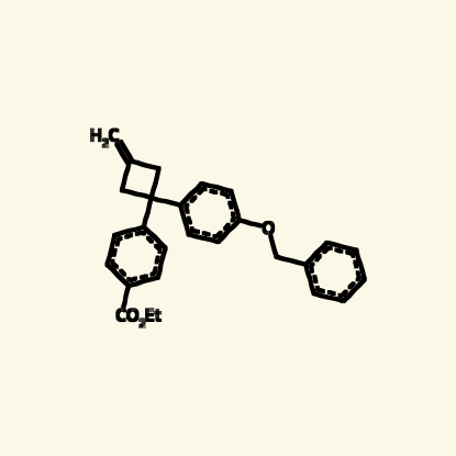 C=C1CC(c2ccc(OCc3ccccc3)cc2)(c2ccc(C(=O)OCC)cc2)C1